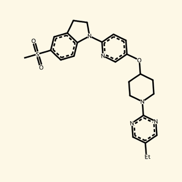 CCc1cnc(N2CCC(Oc3ccc(N4CCc5cc(S(C)(=O)=O)ccc54)nc3)CC2)nc1